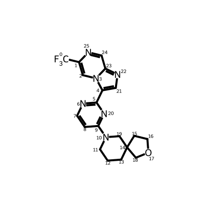 FC(F)(F)c1cn2c(-c3nccc(N4CCCC5(CCOC5)C4)n3)cnc2cn1